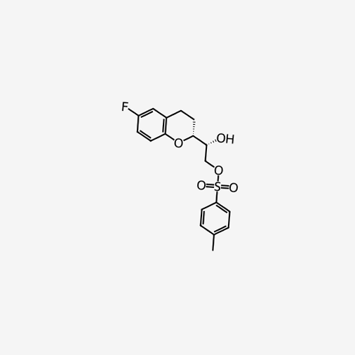 Cc1ccc(S(=O)(=O)OC[C@@H](O)[C@H]2CCc3cc(F)ccc3O2)cc1